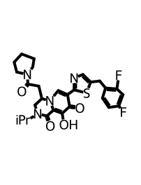 CC(C)N1CC(CC(=O)N2CCCCC2)n2cc(-c3ncc(Cc4ccc(F)cc4F)s3)c(=O)c(O)c2C1=O